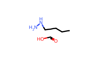 CCCCNN.O=CO